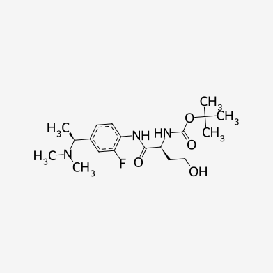 C[C@@H](c1ccc(NC(=O)[C@H](CCO)NC(=O)OC(C)(C)C)c(F)c1)N(C)C